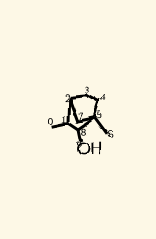 CC1C2CCC(C)(C2)C1O